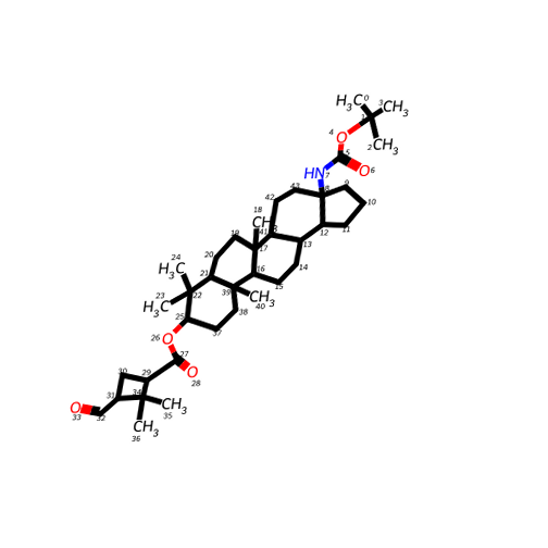 CC(C)(C)OC(=O)NC12CCCC1C1CCC3C(C)(CCC4C(C)(C)C(OC(=O)C5CC(C=O)C5(C)C)CCC43C)C1CC2